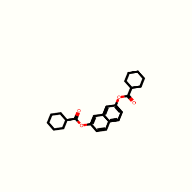 O=C(Oc1ccc2ccc(OC(=O)C3CCCCC3)cc2c1)C1CCCCC1